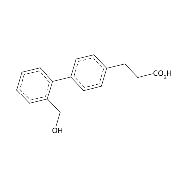 O=C(O)CCc1ccc(-c2ccccc2CO)cc1